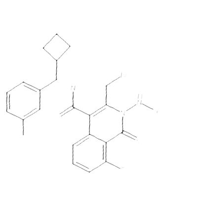 CCCNn1c(CBr)c(C(=O)N[C@H](c2cccc(F)c2)C2CCC2)c2cccc(F)c2c1=O